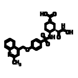 Cc1cc(COc2ccc(S(=O)(=O)N[C@@H]3CCN(C(=O)O)C[C@@H]3C(=O)NO)cc2)c2ccccc2n1